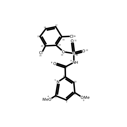 COc1cc(OC)nc(C(=O)NS(=O)(=O)Oc2c(Cl)cccc2Cl)c1